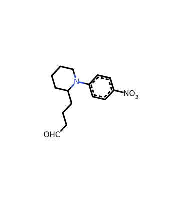 O=CCCCC1CCCCN1c1ccc([N+](=O)[O-])cc1